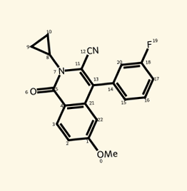 COc1ccc2c(=O)n(C3CC3)c(C#N)c(-c3cccc(F)c3)c2c1